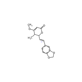 COC1=CC(=O)OC(/C=C/c2ccc3c(c2)OCO3)C1C